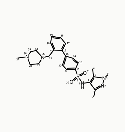 Cc1nn(C)c(C)c1NS(=O)(=O)c1ccc(-c2ccccc2CN2CCN(C)CC2)cc1